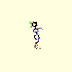 Nc1nc(N2CCN(CCOCC(=O)O)CC2)nnc1-c1cccc(Cl)c1Cl